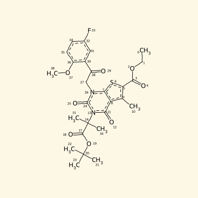 CCOC(=O)c1sc2c(c1C)c(=O)n(C(C)(C)C(=O)OC(C)(C)C)c(=O)n2CC(=O)c1cc(F)ccc1OC